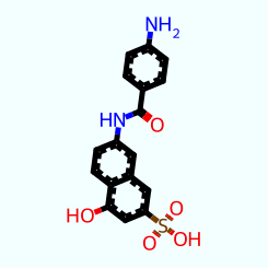 Nc1ccc(C(=O)Nc2ccc3c(O)cc(S(=O)(=O)O)cc3c2)cc1